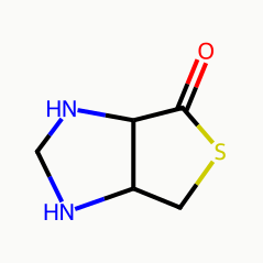 O=C1SCC2NCNC12